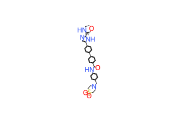 O=C(Nc1ccc(CN2CCS(=O)(=O)CC2)cc1)c1ccc(-c2ccc(-c3cnc([C@@H]4COCCN4)[nH]3)cc2)cc1